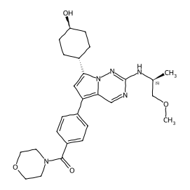 COC[C@H](C)Nc1ncc2c(-c3ccc(C(=O)N4CCOCC4)cc3)cc([C@H]3CC[C@H](O)CC3)n2n1